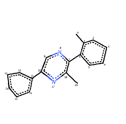 Cc1ccccc1-c1ncc(-c2ccccc2)nc1C